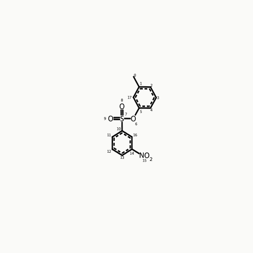 Cc1cccc(OS(=O)(=O)c2cccc([N+](=O)[O-])c2)c1